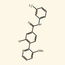 COc1cccnc1-c1ccc(C(=O)Nc2cccc(C(F)(F)F)c2)cc1Cl